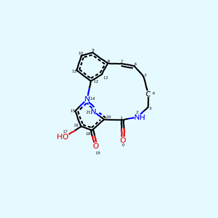 O=C1NCCC/C=C\c2cccc(c2)-n2cc(O)c(=O)c1n2